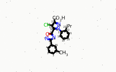 Cc1cccc(-c2noc(-c3c(Cl)c(C(=O)O)nn3-c3ccccc3C(C)C)n2)c1